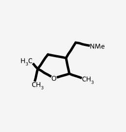 CNCC1CC(C)(C)OC1C